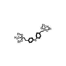 CCO[Si](C)(CCc1ccc(Sc2ccc(CC[Si](C)(OCC)OCC)cc2)cc1)OCC